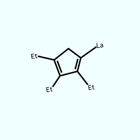 CCC1=C(CC)C(CC)=[C]([La])C1